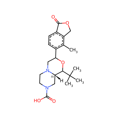 Cc1c(C2CN3CCN(C(=O)O)C[C@H]3C(C(C)(C)C)O2)ccc2c1COC2=O